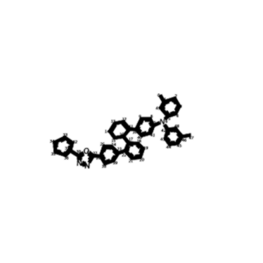 Cc1cccc(N(c2ccc(C3=CC=CCC3c3ccccc3-c3ccc(-c4nnc(-c5ccccc5)o4)cc3)cc2)c2cccc(C)c2)c1